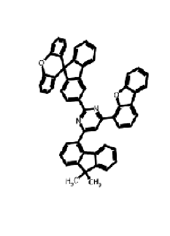 CC1(C)c2ccccc2-c2c(-c3cc(-c4cccc5c4oc4ccccc45)nc(-c4ccc5c(c4)-c4ccccc4C54c5ccccc5Oc5ccccc54)n3)cccc21